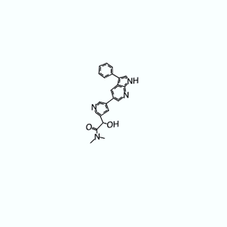 CN(C)C(=O)C(O)c1cncc(-c2cnc3[nH]cc(-c4ccccc4)c3c2)c1